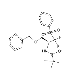 CC(C)(C)[S+]([O-])N[C@@H](COCc1ccccc1)C(F)(F)S(=O)(=O)c1ccccc1